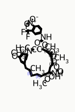 COc1cc2cc(c1Cl)N(C)CC[C@H](OC(=O)Nc1ccc([N+](=O)[O-])c(C(F)(F)F)c1)[C@]1(C)O[C@H]1[C@H](C)[C@@H]1C[C@@](O)(NC(=O)O1)[C@H](OC)/C=C/C=C(\C)C2